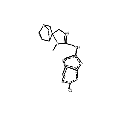 CN1C(Nc2nc3ccc(Cl)nc3s2)=NCC12CN1CCC2CC1